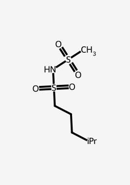 CC(C)CCCS(=O)(=O)NS(C)(=O)=O